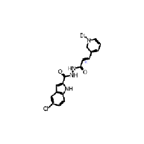 CCN1C=CC=C(/C=C/C(=O)NNC(=O)c2cc3cc(Cl)ccc3[nH]2)C1